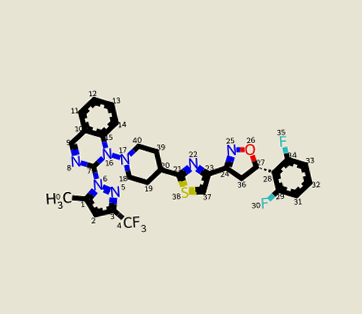 Cc1cc(C(F)(F)F)nn1C1N=Cc2ccccc2N1N1CCC(c2nc(C3=NO[C@H](c4c(F)cccc4F)C3)cs2)CC1